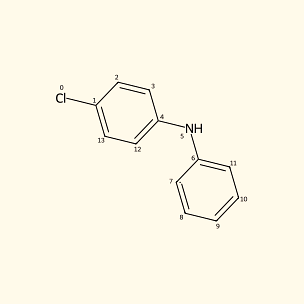 Clc1ccc(Nc2[c]cccc2)cc1